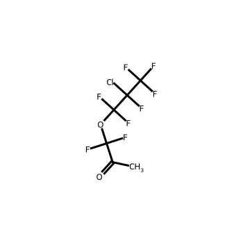 CC(=O)C(F)(F)OC(F)(F)C(F)(Cl)C(F)(F)F